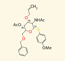 C=CCO[C@@H]1C(NC(C)=O)[C@H](Sc2ccc(OC)cc2)OC(COCc2ccccc2)[C@@H]1OC(C)=O